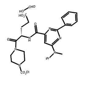 CCOC(=O)N1CCN(C(=O)[C@H](CCC(=O)O)NC(=O)c2cc(N(C)C(C)C)nc(-c3ccccc3)n2)CC1.O=CO